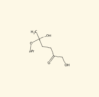 CCCOC(C)(O)CCC(=O)CO